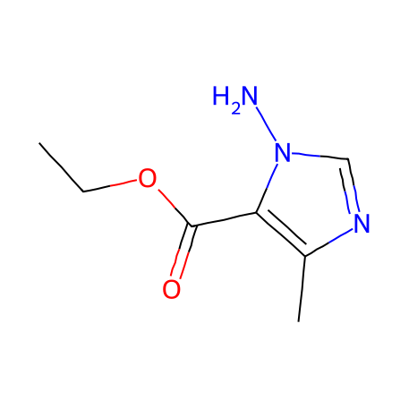 CCOC(=O)c1c(C)ncn1N